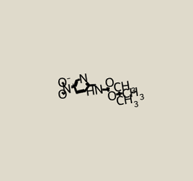 CC(C)(C)OC(=O)NCc1ccc([N+](=O)[O-])cn1